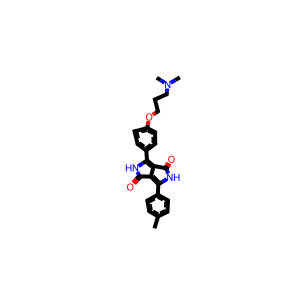 Cc1ccc(C2=C3C(=O)NC(c4ccc(OCCCN(C)C)cc4)=C3C(=O)N2)cc1